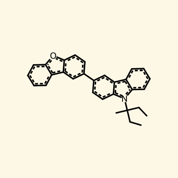 CCC(C)(CC)n1c2ccccc2c2cc(-c3ccc4oc5ccccc5c4c3)ccc21